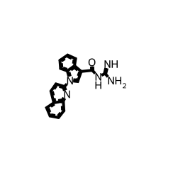 N=C(N)NC(=O)c1cn(-c2ccc3ccccc3n2)c2ccccc12